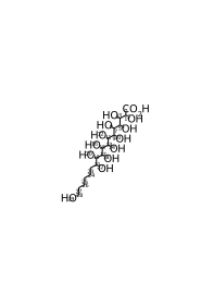 O=C(O)C(O)C(O)C(O)C(O)C(O)C(O)C(O)C(O)C(O)C(O)C(O)CCCCCCO